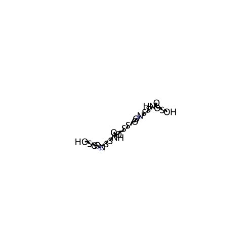 O=C(NCSCSC/N=C\OOCSCO)OCCSCSCCOO/C=N/CSCSCNC(=O)OCSCO